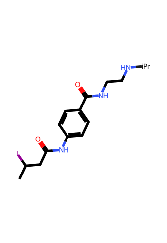 CC(I)CC(=O)Nc1ccc(C(=O)NCCNC(C)C)cc1